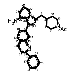 CC(=O)N1CCC(Cc2nc(-c3ccc4ccc(-c5ccccc5)nc4c3)c3c(N)cccn23)CC1